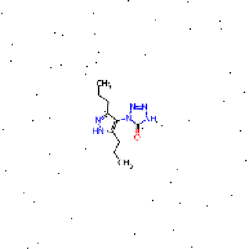 CCCc1n[nH]c(CCC)c1-n1nn[nH]c1=O